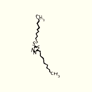 CCCCCCCCCSSc1nnc(CCCCCCCCC)s1